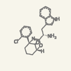 N[C@@H](Cc1c[nH]c2ccccc12)C1=N[C@@]2(c3ccccc3Cl)CCC[C@@H](O1)C2=O